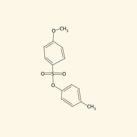 COc1ccc(S(=O)(=O)Oc2ccc(C)cc2)cc1